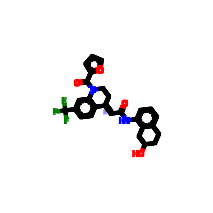 O=C(/C=C1\CCN(C(=O)c2ccco2)c2cc(C(F)(F)F)ccc21)Nc1cccc2c1CC(O)CC2